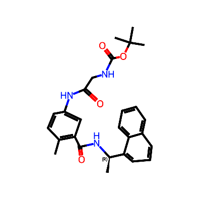 Cc1ccc(NC(=O)CNC(=O)OC(C)(C)C)cc1C(=O)N[C@H](C)c1cccc2ccccc12